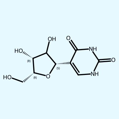 O=c1[nH]cc([C@@H]2O[C@H](CO)[C@H](O)C2O)c(=O)[nH]1